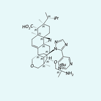 CC(C)[C@@H](C)[C@@]1(C)CC[C@]2(C)[C@H]3CC[C@@H]4[C@@]5(COC[C@]4(C)[C@@H](OC[C@](C)(N)C(C)(C)C)[C@H](n4ncnc4-c4cncnc4)C5)C3=CC[C@@]2(C)[C@@H]1C(=O)O